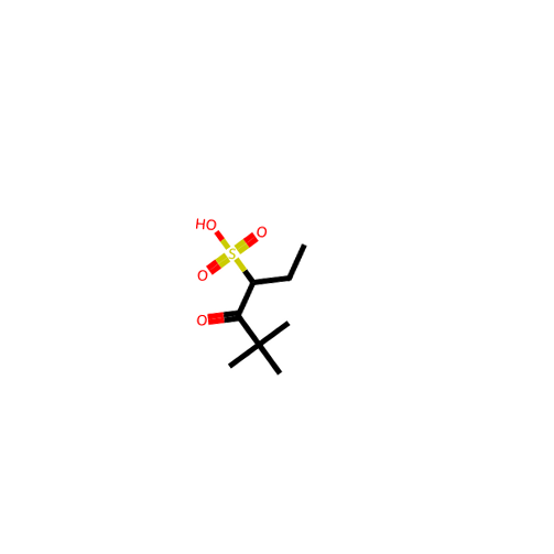 CCC(C(=O)C(C)(C)C)S(=O)(=O)O